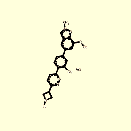 CCOc1cc(-c2ccc(-c3ccc(C4CN(CC)C4)nn3)c(O)c2)cc2cn(C)nc12.Cl